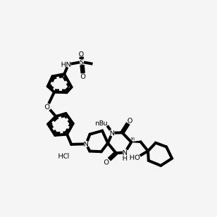 CCCCN1C(=O)[C@@H](CC2(O)CCCCC2)NC(=O)C12CCN(Cc1ccc(Oc3ccc(NS(C)(=O)=O)cc3)cc1)CC2.Cl